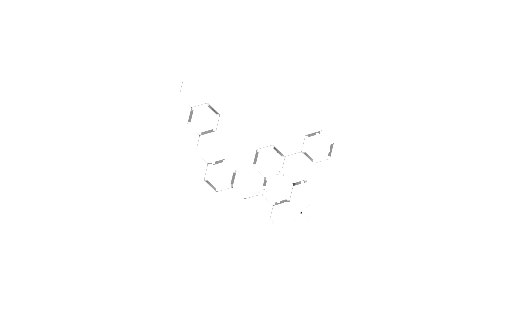 COc1cccc(Oc2ccc(C[n+]3c(O)c(C(F)(F)F)c(=O)n4c(-c5ccccc5)cccc43)cc2)c1